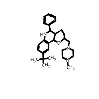 CN1CCN(CC2CCC3C(c4ccccc4)Nc4ccc(C(C)(C)C)cc4C3O2)CC1